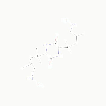 CC(CNP)CC(C)(C)C1NC(=O)C(C(C)(C)CC(C)CNP)NC1=O